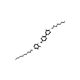 CCCCCCCCCCOc1ccc(OC(=O)c2ccc(-c3ccc(OCCCCCCCC)c(F)c3)cc2)c(F)c1F